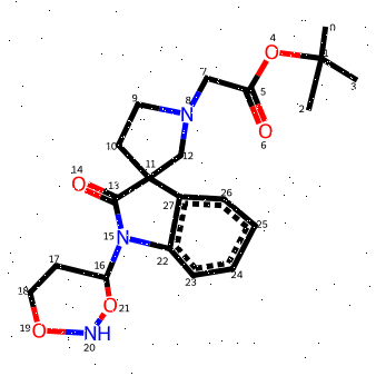 CC(C)(C)OC(=O)CN1CCC2(C1)C(=O)N(C1CCONO1)c1ccccc12